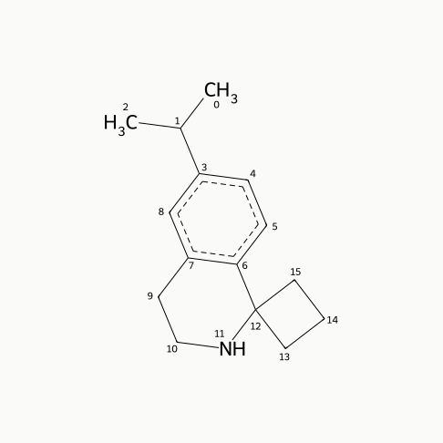 CC(C)c1ccc2c(c1)CCNC21CCC1